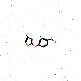 CCc1csc(Oc2ccc(CCl)cc2)c1